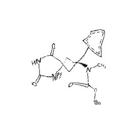 CN(C(=O)OC(C)(C)C)[C@]1(c2ccccc2)C[C@]2(C1)NC(=O)NC2=O